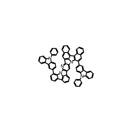 c1ccc(-n2c3ccccc3c3cc(-c4cc5ccccc5c5c6c7ccccc7cc7c8nc9c(cc8n(c45)c76)c4cccc5c6cccc(-c7ccc8c(c7)c7ccccc7n8-c7ccccc7)c6n9c45)ccc32)cc1